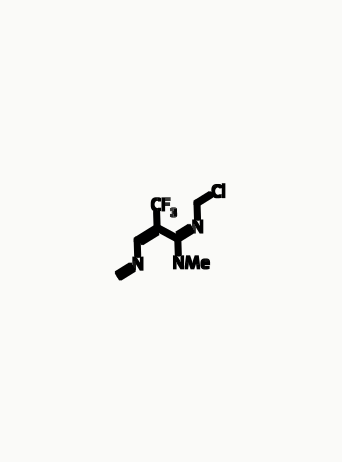 C=N/C=C(\C(=N/CCl)NC)C(F)(F)F